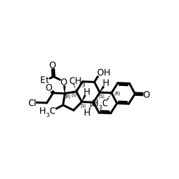 CCC(=O)O[C@]1(C(=O)CCl)C(C)C[C@H]2[C@@H]3C=CC4=CC(=O)C=C[C@]4(C)[C@H]3C(O)C[C@@]21C